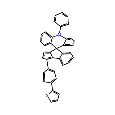 c1ccc(N2c3ccccc3C3(c4ccccc4-c4c(-c5ccc(-c6cccs6)cc5)cccc43)c3ccccc32)cc1